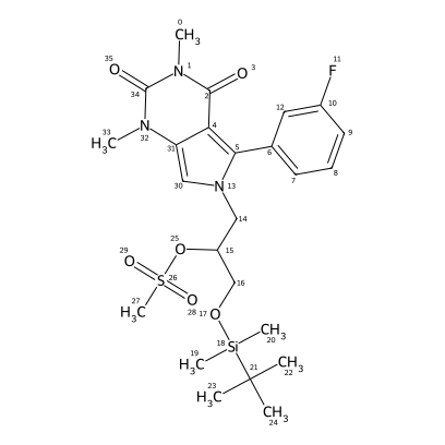 Cn1c(=O)c2c(-c3cccc(F)c3)n(CC(CO[Si](C)(C)C(C)(C)C)OS(C)(=O)=O)cc2n(C)c1=O